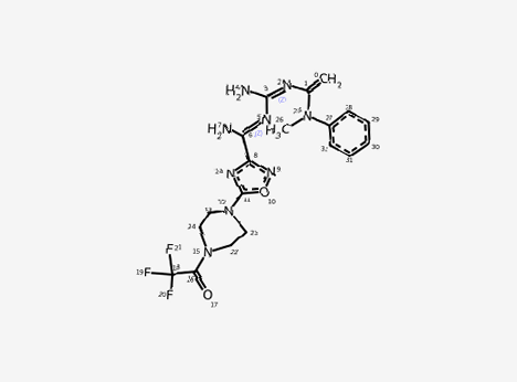 C=C(/N=C(N)\N=C(/N)c1noc(N2CCN(C(=O)C(F)(F)F)CC2)n1)N(C)c1ccccc1